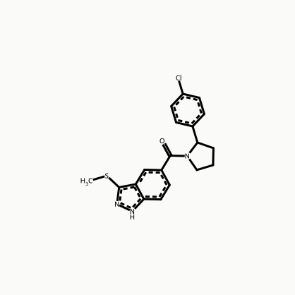 CSc1n[nH]c2ccc(C(=O)N3CCCC3c3ccc(Cl)cc3)cc12